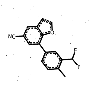 Cc1ccc(-c2cc(C#N)cc3ccoc23)cc1C(F)F